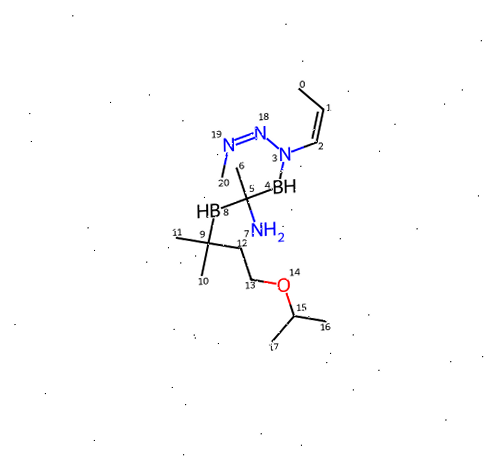 C/C=C\N(BC(C)(N)BC(C)(C)CCOC(C)C)/N=N\C